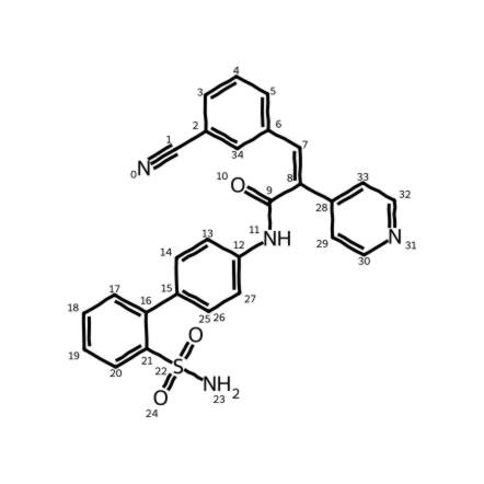 N#Cc1cccc(/C=C(\C(=O)Nc2ccc(-c3ccccc3S(N)(=O)=O)cc2)c2ccncc2)c1